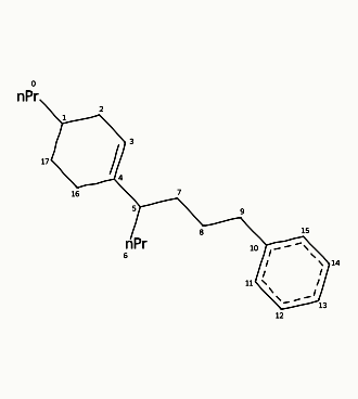 CCCC1CC=C(C(CCC)CCCc2ccccc2)CC1